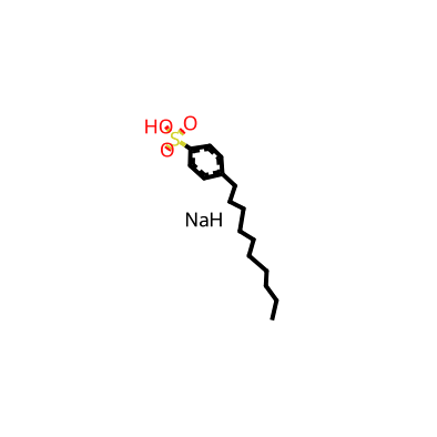 CCCCCCCCCCc1ccc(S(=O)(=O)O)cc1.[NaH]